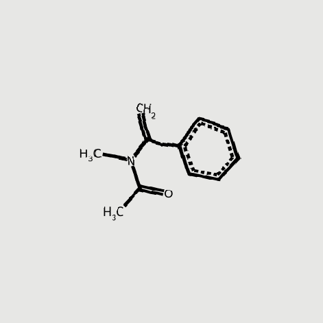 C=C(c1ccccc1)N(C)C(C)=O